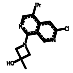 CC(C)c1cnc(N2CC(C)(O)C2)c2cnc(Cl)cc12